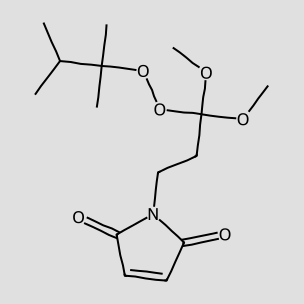 COC(CCN1C(=O)C=CC1=O)(OC)OOC(C)(C)C(C)C